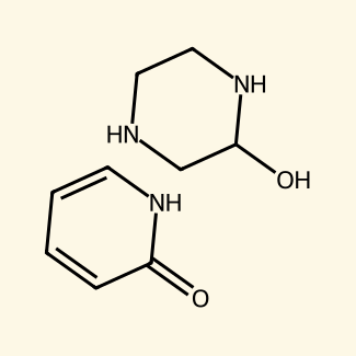 O=c1cccc[nH]1.OC1CNCCN1